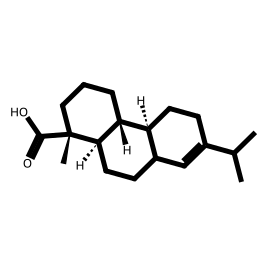 CC(C)C1=CC2CC[C@@H]3[C@H](CCC[C@@]3(C)C(=O)O)[C@H]2CC1